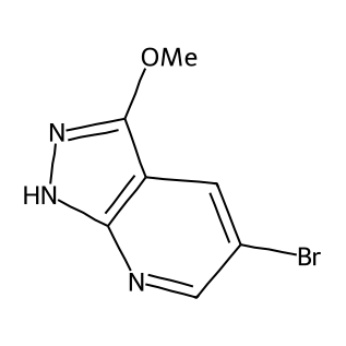 COc1n[nH]c2ncc(Br)cc12